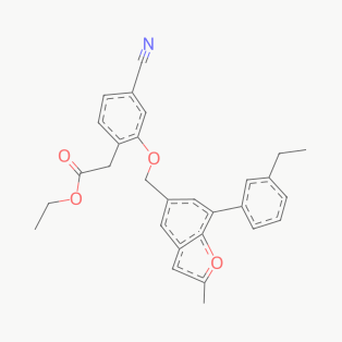 CCOC(=O)Cc1ccc(C#N)cc1OCc1cc(-c2cccc(CC)c2)c2oc(C)cc2c1